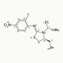 CCCCC(CC)N1C(=Nc2ccc([N+](=O)[O-])cc2C)SC[C@@H]1CC(C)C